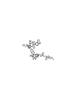 COC(=O)CCC(=O)OCn1cc(C2(O)CC3CC(c4nn(C)c(N)c4C(=O)Nc4ccc(F)c(Cl)c4)CC3C2)c(C(F)(F)F)n1